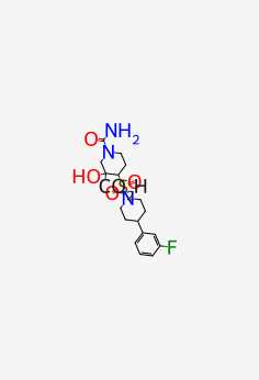 NC(=O)N1CCC(S(=O)(=O)N2CCC(c3cccc(F)c3)CC2)C(O)(C(=O)O)C1